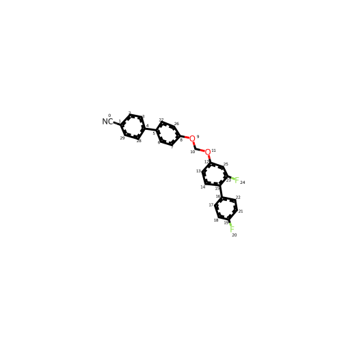 N#Cc1ccc(-c2ccc(OCOc3ccc(-c4ccc(F)cc4)c(F)c3)cc2)cc1